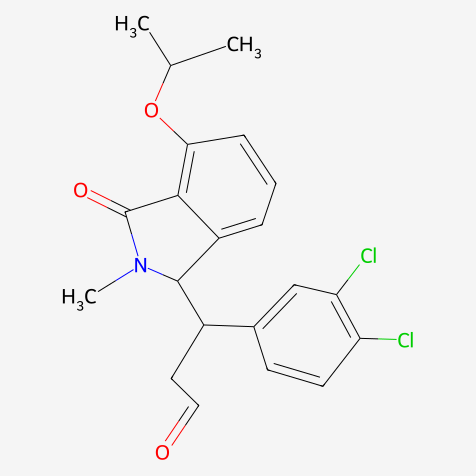 CC(C)Oc1cccc2c1C(=O)N(C)C2C(CC=O)c1ccc(Cl)c(Cl)c1